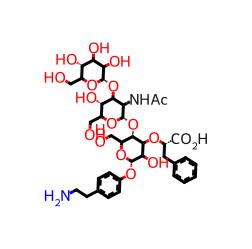 CC(=O)NC1C(O[C@@H]2OC(CO)[C@H](O)C(O)C2O)[C@@H](O)C(CO)O[C@H]1O[C@H]1C(CO)O[C@@H](Oc2ccc(CCN)cc2)C(O)C1O[C@@H](Cc1ccccc1)C(=O)O